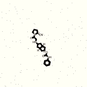 N#C[C@@H]1CCCN1C(=O)CNC1C[C@@H]2C[C@H](OC(=O)Nc3ccccc3)C[C@@H]2C1